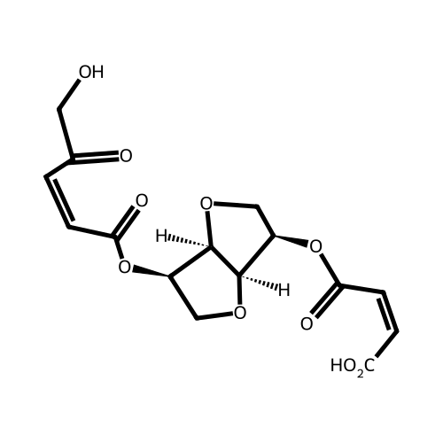 O=C(O)/C=C\C(=O)O[C@@H]1CO[C@H]2[C@@H]1OC[C@H]2OC(=O)/C=C\C(=O)CO